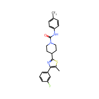 Cc1sc(C2CCN(C(=O)Nc3ccc(C(F)(F)F)cc3)CC2)nc1-c1cccc(F)c1